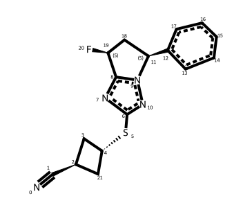 N#C[C@H]1C[C@H](Sc2nc3n(n2)[C@H](c2ccccc2)C[C@@H]3F)C1